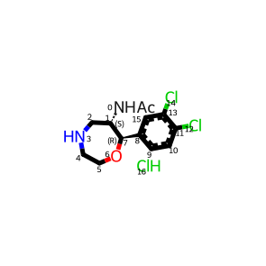 CC(=O)N[C@H]1CNCCO[C@@H]1c1ccc(Cl)c(Cl)c1.Cl